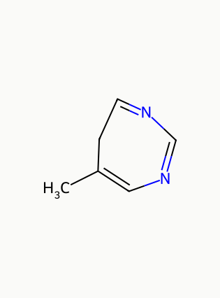 CC1=CN=CN=CC1